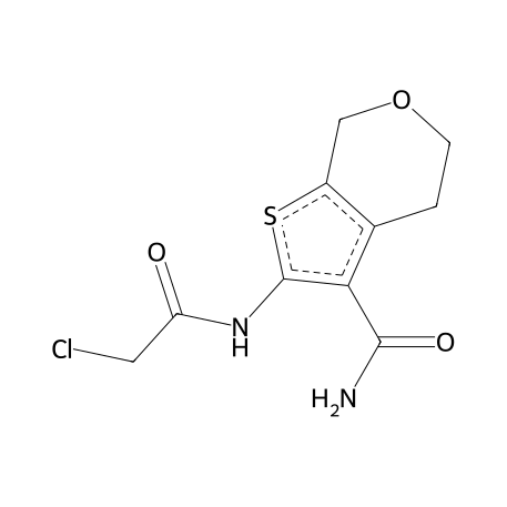 NC(=O)c1c(NC(=O)CCl)sc2c1CCOC2